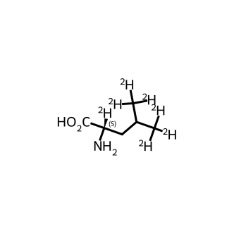 [2H]C([2H])([2H])C(C[C@]([2H])(N)C(=O)O)C([2H])([2H])[2H]